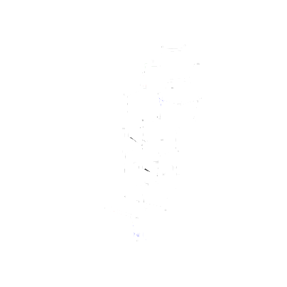 C[C@]12CC[C@H]3[C@@H](CC=C4[C@]3(C)CCC(=O)[N+]4(c3ccccc3F)C3CC3)[C@@H]1CC[C@@H]2C(N)=O